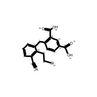 N#Cc1cccc(Cc2ccc(C(=O)O)cc2C(=O)O)c1CCBr